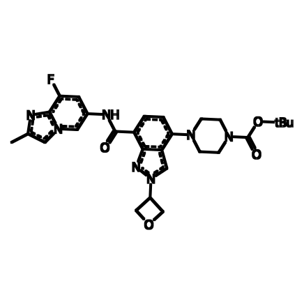 Cc1cn2cc(NC(=O)c3ccc(N4CCN(C(=O)OC(C)(C)C)CC4)c4cn(C5COC5)nc34)cc(F)c2n1